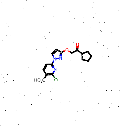 O=C(O)c1ccc(-n2ccc(OCC(=O)C3CCCC3)n2)nc1Cl